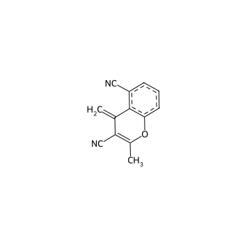 C=C1C(C#N)=C(C)Oc2cccc(C#N)c21